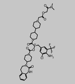 CN(C)C(=O)COC(=O)CN1CCC(C2CCN(C(=O)[C@@H](Cc3cc(Cl)c(N)c(C(F)(F)F)c3)OC(=O)N3CCC(N4CCc5ccccc5NC4=O)CC3)CC2)CC1